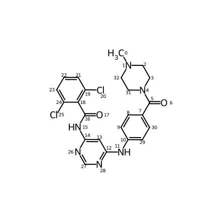 CN1CCN(C(=O)c2ccc(Nc3cc(NC(=O)c4c(Cl)cccc4Cl)ncn3)cc2)CC1